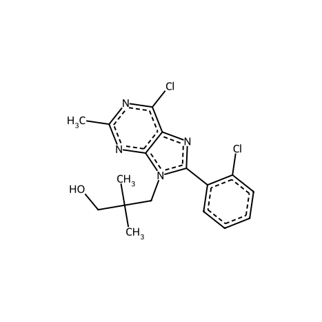 Cc1nc(Cl)c2nc(-c3ccccc3Cl)n(CC(C)(C)CO)c2n1